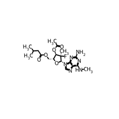 CNc1nc(N)nc2c1ncn2[C@@H]1O[C@H](COC(=O)CC(C)C)[C@@H](OC(C)=O)[C@@]1(C)F